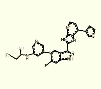 CC(C)CC(O)Nc1cncc(-c2cc3c(-c4nc5c(-c6ccsc6)ccnc5[nH]4)n[nH]c3cc2F)c1